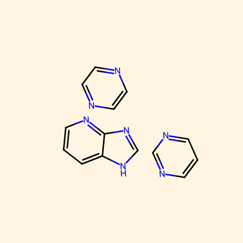 c1cnc2nc[nH]c2c1.c1cnccn1.c1cncnc1